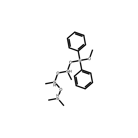 CO[Si](O[SiH](C)O[SiH](C)O[SiH](C)C)(c1ccccc1)c1ccccc1